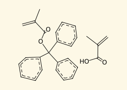 C=C(C)C(=O)O.C=C(C)C(=O)OC(c1ccccc1)(c1ccccc1)c1ccccc1